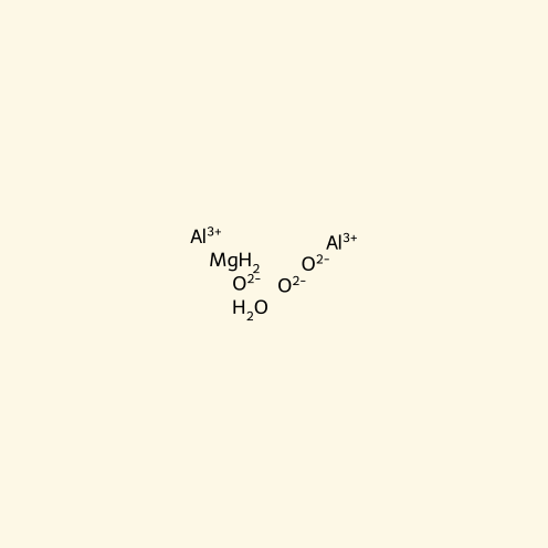 O.[Al+3].[Al+3].[MgH2].[O-2].[O-2].[O-2]